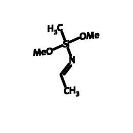 CC=N[Si](C)(OC)OC